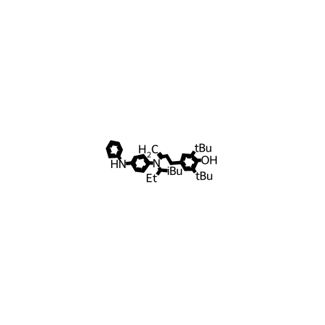 C=C(CCc1cc(C(C)(C)C)c(O)c(C(C)(C)C)c1)N(c1ccc(Nc2ccccc2)cc1)C(CC)C(C)CC